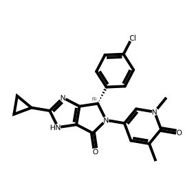 Cc1cc(N2C(=O)c3[nH]c(C4CC4)nc3[C@@H]2c2ccc(Cl)cc2)cn(C)c1=O